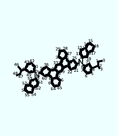 CCC(C)c1cccc(N(c2ccc3ccccc3c2)c2ccc3c(c2)c2ccccc2c2cc4c5ccc(N(c6cccc(C(C)CC)c6)c6ccc7ccccc7c6)cc5c5ccccc5c4cc32)c1